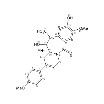 COc1ccc(C2=CCN3C(=O)c4cc(OC)c(O)cc4N(C(=O)O)C(O)[C@@H]3C2)cc1